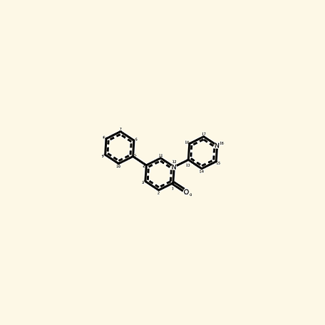 O=c1ccc(-c2ccccc2)cn1-c1ccncc1